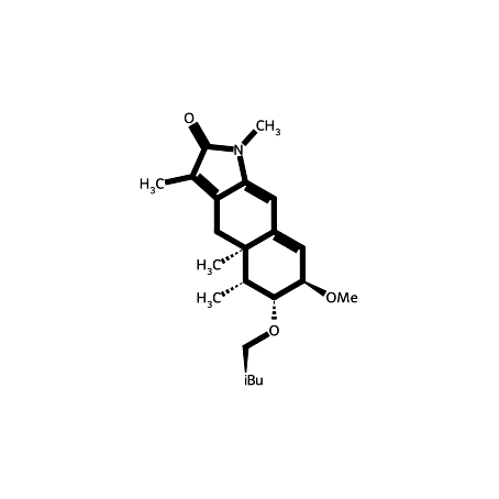 CC[C@H](C)CO[C@H]1[C@H](OC)C=C2C=C3C(=C(C)C(=O)N3C)C[C@]2(C)[C@H]1C